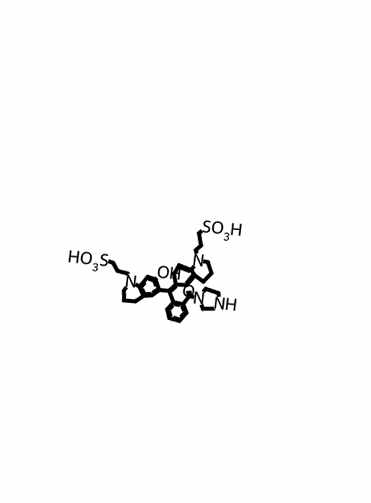 O=C(c1ccccc1/C(=C1\C=C2CCCN(CCCS(=O)(=O)O)C2=CC1)c1cc2c(cc1O)N(CCCS(=O)(=O)O)CCC2)N1CCNCC1